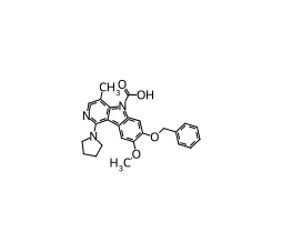 COc1cc2c3c(N4CCCC4)ncc(C)c3n(C(=O)O)c2cc1OCc1ccccc1